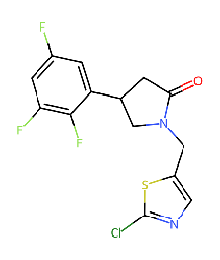 O=C1CC(c2cc(F)cc(F)c2F)CN1Cc1cnc(Cl)s1